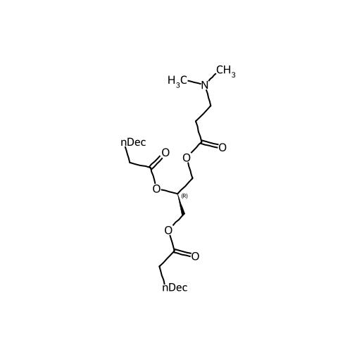 CCCCCCCCCCCC(=O)OC[C@H](COC(=O)CCN(C)C)OC(=O)CCCCCCCCCCC